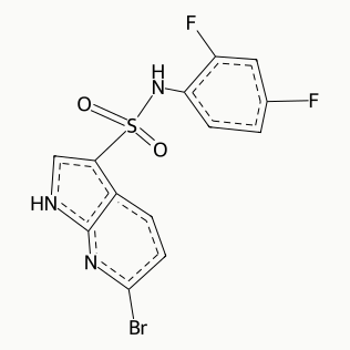 O=S(=O)(Nc1ccc(F)cc1F)c1c[nH]c2nc(Br)ccc12